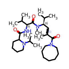 C/C(=C\[C@H](C(C)C)N(C)C(=O)[C@@H](NC(=O)C1CCCCN1C(C)C)C(C)C)C(=O)N1CCCCCCC1